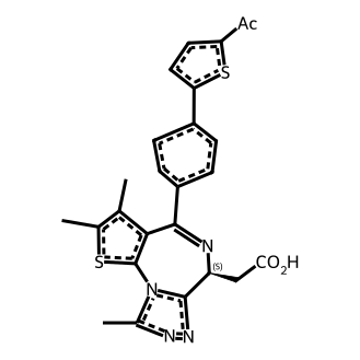 CC(=O)c1ccc(-c2ccc(C3=N[C@@H](CC(=O)O)c4nnc(C)n4-c4sc(C)c(C)c43)cc2)s1